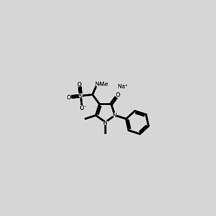 CNC(c1c(C)n(C)n(-c2ccccc2)c1=O)S(=O)(=O)[O-].[Na+]